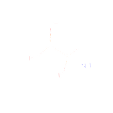 N.OP(O)P(O)O